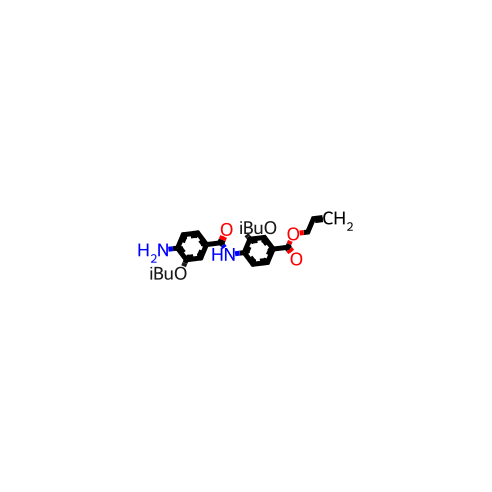 C=CCOC(=O)c1ccc(NC(=O)c2ccc(N)c(OCC(C)C)c2)c(OCC(C)C)c1